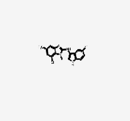 Cn1c(Nc2c[nH]c3ccc(Cl)cc23)nc2cc(C(F)(F)F)cc(Cl)c21